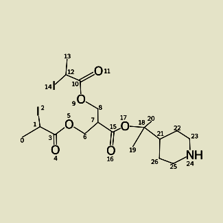 CC(I)C(=O)OCC(COC(=O)C(C)I)C(=O)OC(C)(C)C1CCNCC1